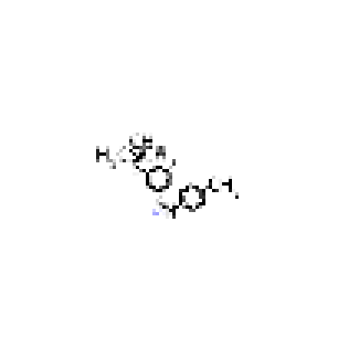 Cc1ccc(/N=C\c2cccc(S[Si](C)(C)C)c2)cc1